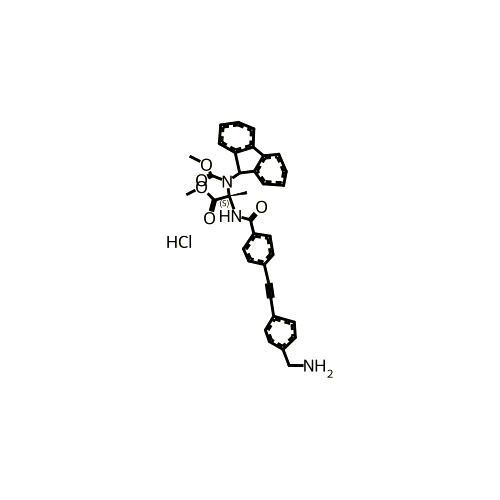 COC(=O)N(C1c2ccccc2-c2ccccc21)[C@](C)(NC(=O)c1ccc(C#Cc2ccc(CN)cc2)cc1)C(=O)OC.Cl